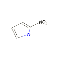 O=[N+]([O-])C1=CC=C[N]1